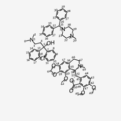 CN(C)CCC(O)(c1ccccc1)c1ccccc1Cl.CN1CCN(C(c2ccccc2)c2ccccc2)CC1.COc1ccc2c(c1OC)C(=O)O[C@@H]2[C@H]1c2c(cc3c(c2OC)OCO3)CCN1C